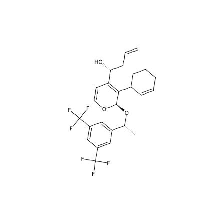 C=CC[C@@H](O)C1=C(C2C=CCCC2)[C@@H](O[C@H](C)c2cc(C(F)(F)F)cc(C(F)(F)F)c2)OC=C1